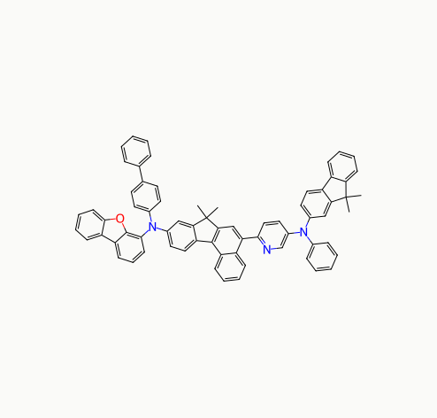 CC1(C)c2ccccc2-c2ccc(N(c3ccccc3)c3ccc(-c4cc5c(c6ccccc46)-c4ccc(N(c6ccc(-c7ccccc7)cc6)c6cccc7c6oc6ccccc67)cc4C5(C)C)nc3)cc21